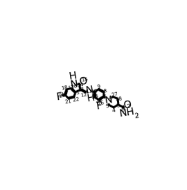 NC(=O)C1CCN(c2ccc(NC=C3C(=O)Nc4cc(F)ccc43)cc2F)CC1